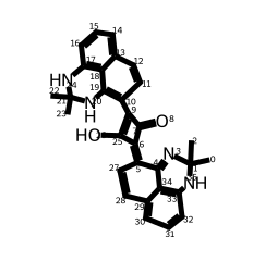 CC1(C)N=c2/c(=C3\C(=O)C(c4ccc5cccc6c5c4NC(C)(C)N6)=C3O)ccc3cccc(c23)N1